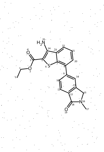 CCOC(=O)c1sc2c(-c3ccc4c(c3)CN(C)C4=O)cccc2c1N